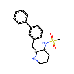 CS(=O)(=O)N[C@H]1CCCN[C@H]1Cc1cccc(-c2ccccc2)c1